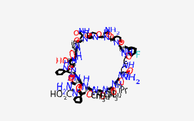 CCCC[C@H]1C(=O)N(C)[C@@H](CCCC)C(=O)N[C@@H](CC(C)C)C(=O)N[C@H](C(N)=O)CNCC(=O)N[C@@H](Cc2ccc(F)cc2)C(=O)N2CCCC[C@H]2C(=O)N[C@@H](CC(N)=O)C(=O)N2CCC[C@H]2C(=O)N[C@@H](CCC(N)=O)C(=O)N[C@@H](CC(C)C)C(=O)N2C[C@H](O)C[C@H]2C(=O)N[C@@H](Cc2c[nH]c3ccccc23)C(=O)N[C@@H](CC(N)=O)C(=O)N[C@@H](Cc2cn(CC(=O)O)c3ccccc23)C(=O)N1C